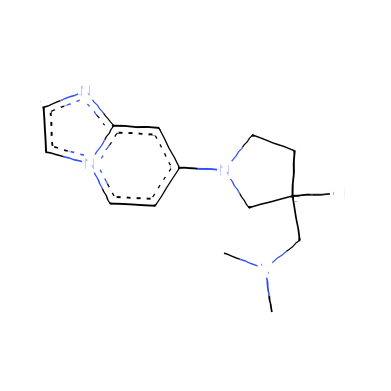 CN(C)CC1(C(F)(F)F)CCN(c2ccn3ccnc3c2)C1